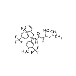 Cc1ccc([C@@](Cc2ccccc2)(NC(=O)NC(CO)CC(C)C)c2cc(F)cc(C(F)(F)F)c2)cc1C(F)(F)F